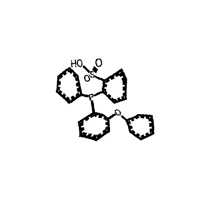 O=S(=O)(O)c1ccccc1P(c1ccccc1)c1ccccc1Oc1ccccc1